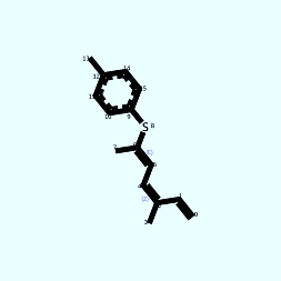 C=C/C(C)=C\C=C(/C)Sc1ccc(C)cc1